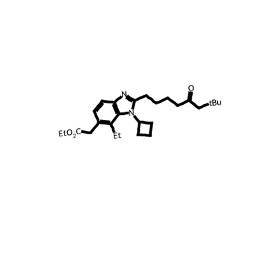 CCOC(=O)Cc1ccc2nc(CCCCC(=O)CC(C)(C)C)n(C3CCC3)c2c1CC